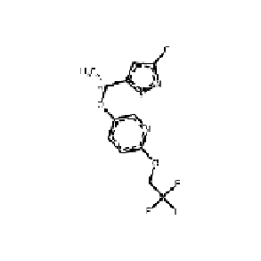 C[C@@H](Oc1ccc(OCC(F)(F)F)nc1)c1cc(Cl)ns1